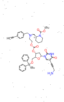 C#Cc1ccc(CN(CCOC(=O)OC2CC(n3cc(C#CCN)c(=O)[nH]c3=O)OC2CO[Si](c2ccccc2)(c2ccccc2)C(C)(C)C)C[C@@H]2CCCCN2C(=O)OC(C)(C)C)cc1